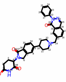 O=C1CCC(N2Cc3cc(C4CCN(Cc5ccc6cnn(-c7ccccc7)c(=O)c6c5)CC4)ccc3C2=O)C(=O)N1